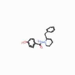 O=C(NN1CCCCC1Cc1ccccc1)c1ccc(O)cc1